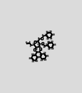 C=CC[C@H]1OC(COCc2ccccc2)[C@H](OCc2ccccc2)[C@H](OCc2ccccc2)C1OCc1ccccc1